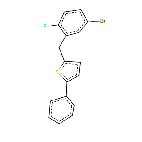 Fc1ccc(Br)cc1Cc1ccc(-c2ccccc2)s1